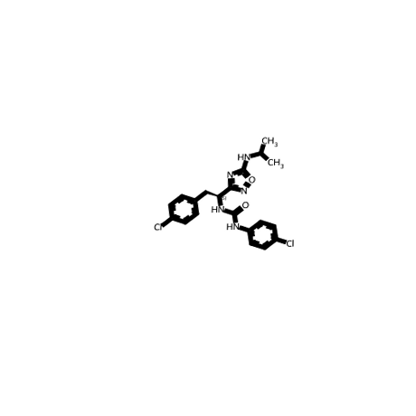 CC(C)Nc1nc([C@H](Cc2ccc(Cl)cc2)NC(=O)Nc2ccc(Cl)cc2)no1